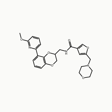 COc1cccc(-c2cccc3c2OC(CNC(=O)c2coc(CN4CCOCC4)c2)CO3)n1